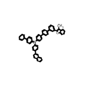 Cc1c(-c2cccc(-c3ccc(-c4ccc(N(c5ccc(-c6ccccc6)cc5)c5ccc(-c6ccc7ccccc7c6)cc5)cc4)cc3)c2)oc2ccccc12